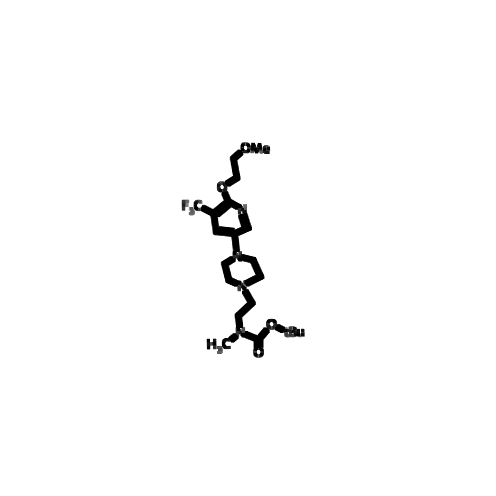 COCCOc1ncc(N2CCN(CCN(C)C(=O)OC(C)(C)C)CC2)cc1C(F)(F)F